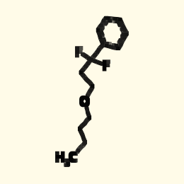 CCCCOCCC(F)(F)c1ccccc1